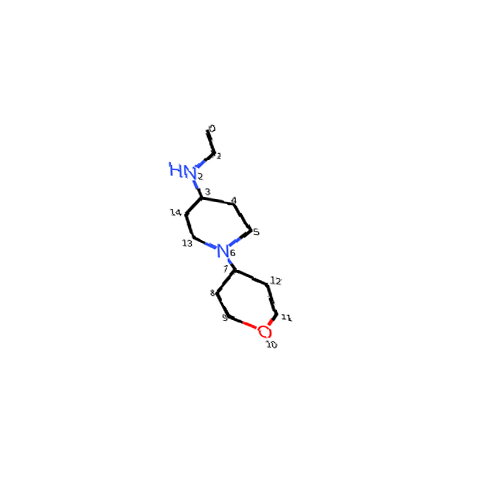 CCNC1CCN(C2CCOCC2)CC1